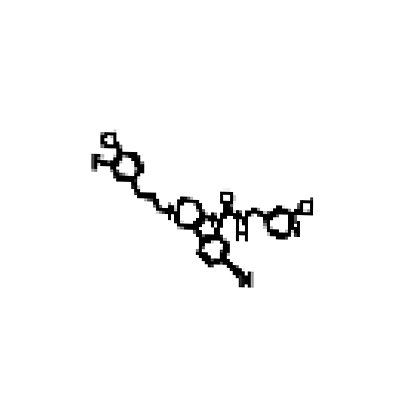 N#Cc1ccc2c3c(n(C(=O)NCc4ccnc(Cl)c4)c2c1)CCN(C/C=C/c1ccc(Cl)c(F)c1)C3